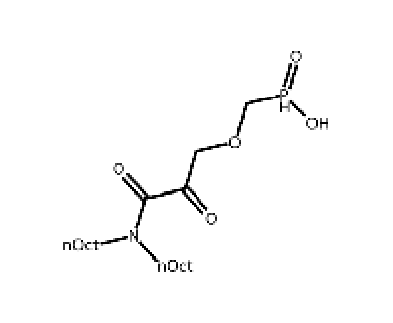 CCCCCCCCN(CCCCCCCC)C(=O)C(=O)COC[PH](=O)O